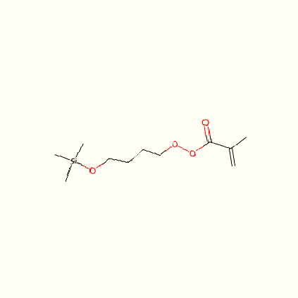 C=C(C)C(=O)OOCCCCO[Si](C)(C)C